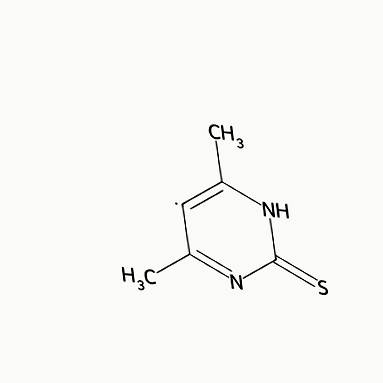 Cc1[c]c(C)[nH]c(=S)n1